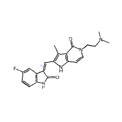 Cc1c(/C=C2\C(=O)Nc3ccc(F)cc32)[nH]c2ccn(CCN(C)C)c(=O)c12